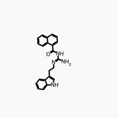 NC(=NCCc1c[nH]c2ccccc12)NC(=O)c1cccc2ccccc12